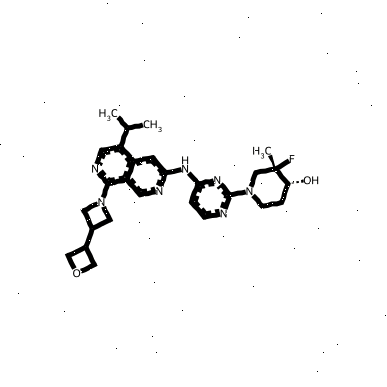 CC(C)c1cnc(N2CC(C3COC3)C2)c2cnc(Nc3ccnc(N4CC[C@@H](O)[C@@](C)(F)C4)n3)cc12